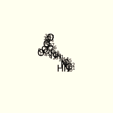 COC(=O)CC(CN1CC[C@@H](CCc2ccc3c(n2)NCCC3)C1)c1cccc(O[C@H]2CCOC2)c1